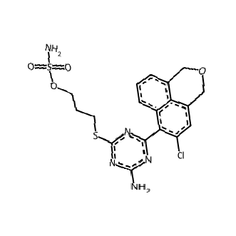 Nc1nc(SCCCOS(N)(=O)=O)nc(-c2c(Cl)cc3c4c(cccc24)COC3)n1